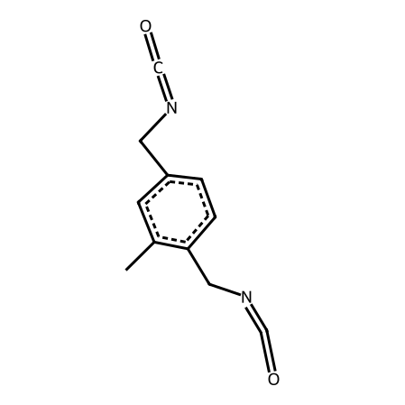 Cc1cc(CN=C=O)ccc1CN=C=O